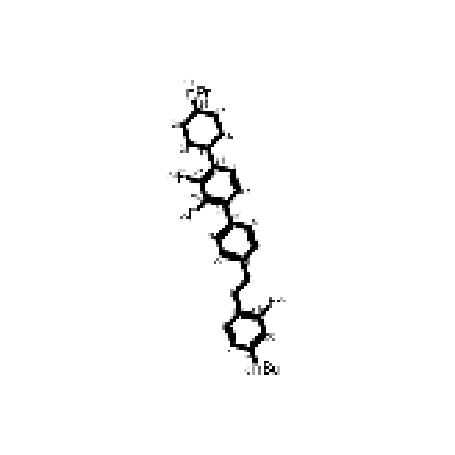 CCCCc1ccc(CCc2ccc(-c3ccc(C4CCC(CCC)CC4)c(F)c3F)cc2)c(F)c1